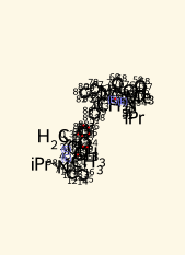 C=C(/C=C/C=C1/N(CCC(C)C)c2ccc3ccccc3c2C1(C)Cc1ccccc1)C(C)(Cc1ccc(Cc2ccc(CC3(C)C(/C=C/C=C4/N(CCC(C)C)c5ccc6ccccc6c5C4(C)Cc4ccccc4)=[N+](CCOC)c4ccc5ccccc5c43)cc2)cc1)c1c(C)ccc2ccccc12